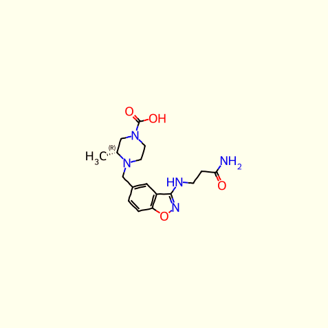 C[C@@H]1CN(C(=O)O)CCN1Cc1ccc2onc(NCCC(N)=O)c2c1